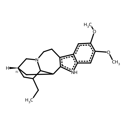 CCC1C[C@H]2CC3c4[nH]c5cc(OC)c(OC)cc5c4CCN(C2)C13